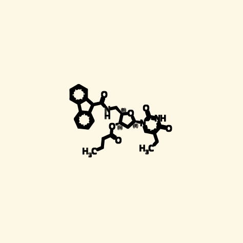 CCCC(=O)O[C@H]1C[C@H](n2cc(CC)c(=O)[nH]c2=O)O[C@@H]1CNC(=O)C1c2ccccc2-c2ccccc21